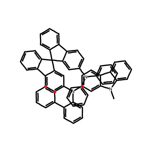 Cn1c2ccccc2c2ccc(N(c3ccc4c(c3)C3(c5ccccc5-c5ccc(N(c6ccccc6)c6ccccc6)cc53)c3ccccc3-4)c3ccccc3-c3ccccc3)cc21